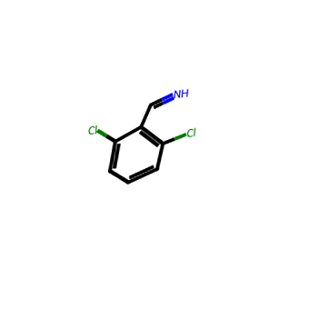 N=Cc1c(Cl)cccc1Cl